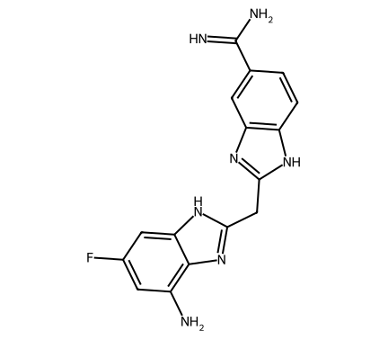 N=C(N)c1ccc2[nH]c(Cc3nc4c(N)cc(F)cc4[nH]3)nc2c1